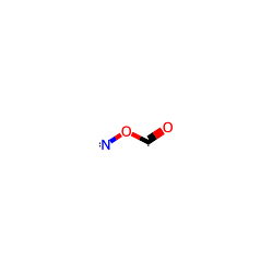 [N]O[C]=O